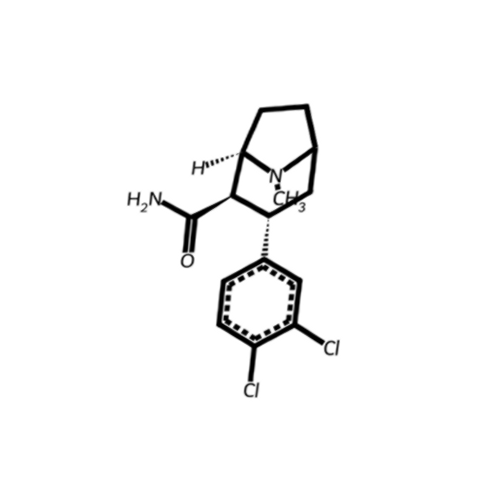 CN1C2CC[C@@H]1[C@H](C(N)=O)[C@@H](c1ccc(Cl)c(Cl)c1)C2